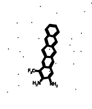 Nc1cc2cc3cc4cc5ccccc5cc4cc3cc2c(C(F)(F)F)c1N